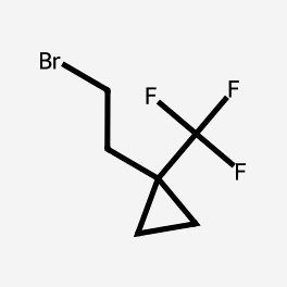 FC(F)(F)C1(CCBr)CC1